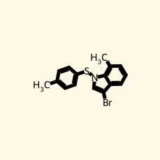 Cc1ccc(Sn2cc(Br)c3cccc(C)c32)cc1